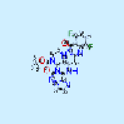 CC(C)(C)OC(=O)N1CCN(n2c(CCNc3ncnn4ccnc34)nc3c(F)ccc(F)c3c2=O)CC1